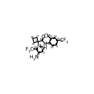 Nc1cnn(C2(C(=O)Nc3ccc(C(F)(F)F)cc3Cl)CCC2)c1C(F)(F)F